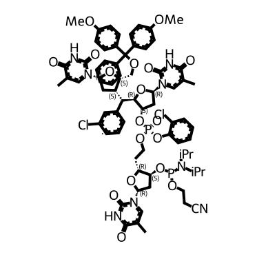 COc1ccc(C(OC[C@H]2O[C@@H](n3cc(C)c(=O)[nH]c3=O)C[C@H]2C(c2cc[c]c(Cl)c2)[C@H]2O[C@@H](n3cc(C)c(=O)[nH]c3=O)C[C@@H]2OP(=O)(OCC[C@H]2O[C@@H](n3cc(C)c(=O)[nH]c3=O)C[C@@H]2OP(OCCC#N)N(C(C)C)C(C)C)Oc2ccccc2Cl)(c2ccccc2)c2ccc(OC)cc2)cc1